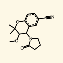 COC1C(N2CCCC2=O)c2cc(C#N)ccc2OC1(C)C